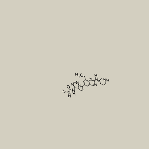 CCc1cc(-c2ccc3c(NC(=O)NC4CC4)ncnn23)cc2cnc(N[C@@H]3CCCNC3)nc12